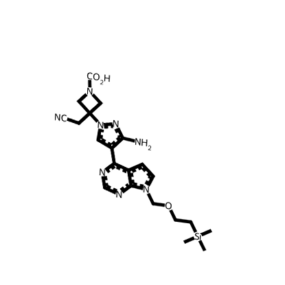 C[Si](C)(C)CCOCn1ccc2c(-c3cn(C4(CC#N)CN(C(=O)O)C4)nc3N)ncnc21